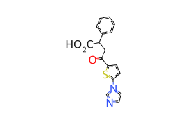 O=C(CC(C(=O)O)c1ccccc1)c1ccc(-n2ccnc2)s1